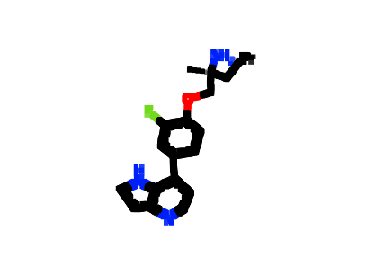 CC(C)C[C@](C)(N)COc1ccc(-c2ccnc3cc[nH]c23)cc1F